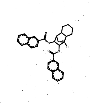 O=C(OC1C2C[C@H](C3CCCCC23)C1OC(=O)c1ccc2ccccc2c1)c1ccc2ccccc2c1